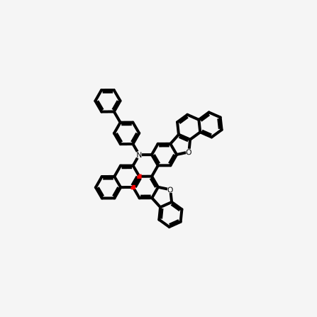 c1ccc(-c2ccc(N(c3ccc4ccccc4c3)c3cc4c(cc3-c3cccc5c3oc3ccccc35)oc3c5ccccc5ccc43)cc2)cc1